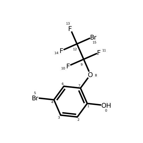 Oc1ccc(Br)cc1OC(F)(F)C(F)(F)Br